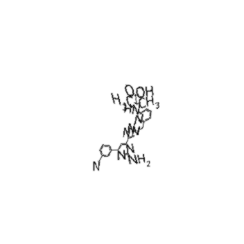 CC(C)(Nc1cccc(Cn2cc(-c3cc(-c4cccc(C#N)c4)nc(N)n3)nn2)n1)C(=O)O